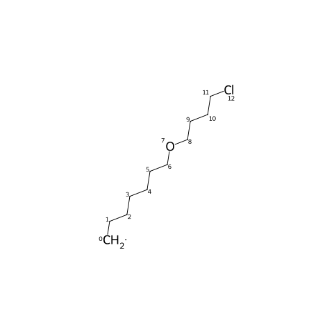 [CH2]CCCCCCOCCCCCl